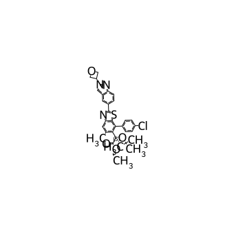 CCOC(=O)[C@@H](OC(C)(C)C)c1c(C)cc2nc(-c3ccc4nn(C5COC5)cc4c3)sc2c1-c1ccc(Cl)cc1